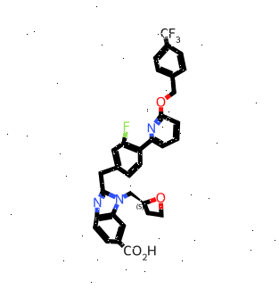 O=C(O)c1ccc2nc(Cc3ccc(-c4cccc(OCc5ccc(C(F)(F)F)cc5)n4)c(F)c3)n(C[C@@H]3CCO3)c2c1